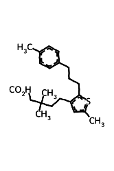 Cc1ccc(CCCc2sc(C)cc2CCC(C)(C)CC(=O)O)cc1